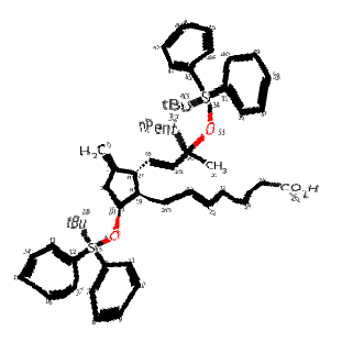 C=C1C[C@H](O[Si](c2ccccc2)(c2ccccc2)C(C)(C)C)[C@H](CC=CCCCC(=O)O)[C@H]1C=CC(C)(CCCCC)O[Si](c1ccccc1)(c1ccccc1)C(C)(C)C